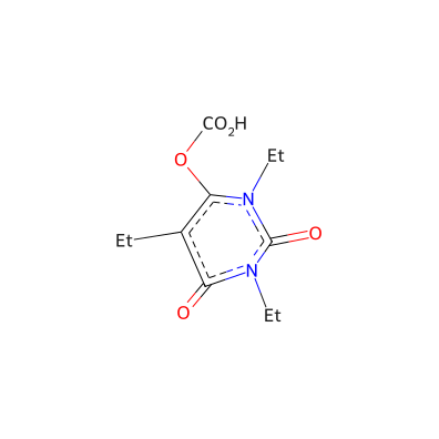 CCc1c(OC(=O)O)n(CC)c(=O)n(CC)c1=O